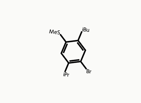 CCC(C)c1cc(Br)c(C(C)C)cc1SC